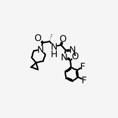 C[C@H](NC(=O)c1noc(-c2cccc(F)c2F)n1)C(=O)N1CCC2(CC1)CC2